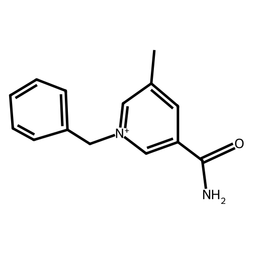 Cc1cc(C(N)=O)c[n+](Cc2ccccc2)c1